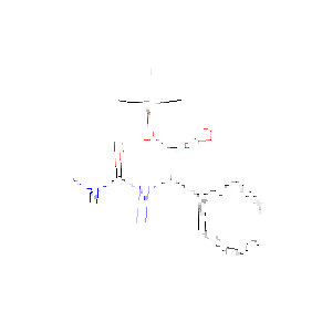 CN(C)C(=O)NC(C(=O)OC(C)(C)C)c1ccccc1